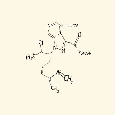 C=NC(=C)/C=C\C[C@H](C(C)Cl)n1nc(C(=O)OC)c2c(C#N)cncc21